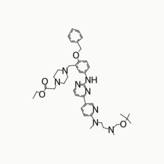 CCOC(=O)CN1CCN(Cc2cc(Nc3nccc(-c4ccc(N(C)CCN(C)COC(C)(C)C)nc4)n3)ccc2OCc2ccccc2)CC1